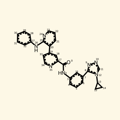 O=C(Nc1cccc(-c2nncn2C2CC2)c1)c1cc(-c2cccnc2Nc2ccccc2)ccn1